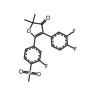 CC1(C)OC(c2ccc(S(C)(=O)=O)c(F)c2)=C(c2ccc(F)c(F)c2)C1=O